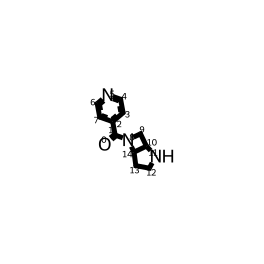 O=C(c1ccncc1)N1CC2NCCC21